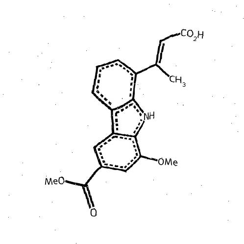 COC(=O)c1cc(OC)c2[nH]c3c(/C(C)=C/C(=O)O)cccc3c2c1